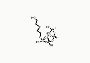 O=P(O)(O)OP(=O)(O)OP(=O)(O)OP(=O)(O)OCCOCCO